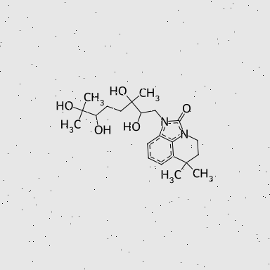 CC1(C)CCn2c(=O)n(CC(O)C(C)(O)CCC(O)C(C)(C)O)c3cccc1c32